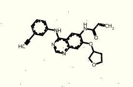 C#Cc1cccc(Nc2ncnc3cc(OC4CCOC4)c(NC(=O)C=C)cc23)c1